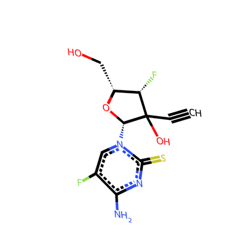 C#CC1(O)[C@@H](F)[C@@H](CO)O[C@H]1n1cc(F)c(N)nc1=S